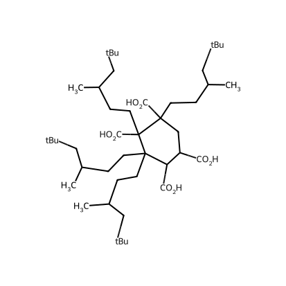 CC(CCC1(C(=O)O)CC(C(=O)O)C(C(=O)O)C(CCC(C)CC(C)(C)C)(CCC(C)CC(C)(C)C)C1(CCC(C)CC(C)(C)C)C(=O)O)CC(C)(C)C